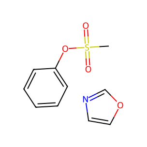 CS(=O)(=O)Oc1ccccc1.c1cocn1